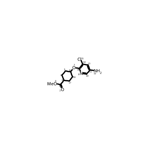 COC(=O)C1CCC(Oc2ncc(N)cc2Cl)CC1